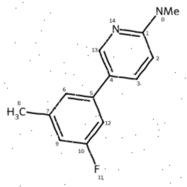 CNc1ccc(-c2cc(C)cc(F)c2)cn1